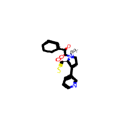 CCC[N+]1(C(=O)C(=O)C2CCCCC2)CCC(c2cccnc2)[C@H]1C([O-])=S